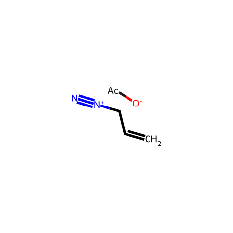 C=CC[N+]#N.CC(=O)[O-]